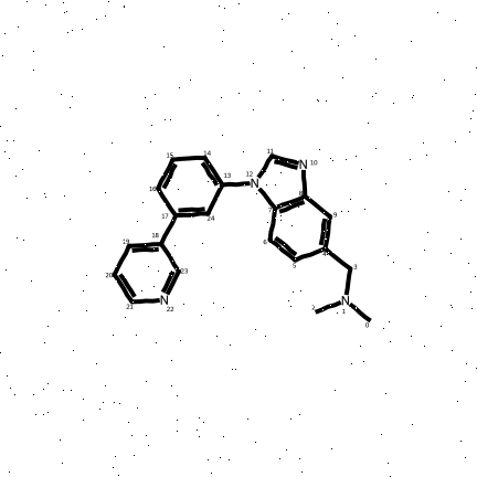 CN(C)Cc1ccc2c(c1)ncn2-c1cccc(-c2cccnc2)c1